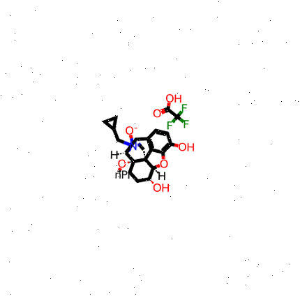 CCCO[C@@]12CC[C@@H](O)[C@@H]3Oc4c(O)ccc5c4[C@@]31CC[N+]([O-])(CC1CC1)[C@@H]2C5.O=C(O)C(F)(F)F